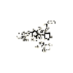 CCCC[N+](CCCC)(CCCC)CCCC.CCCC[N+](CCCC)(CCCC)CCCC.COc1cc(C)c(S(=O)(=O)N2CCCCC2COCC(=O)[O-])c(C)c1.[Cl-]